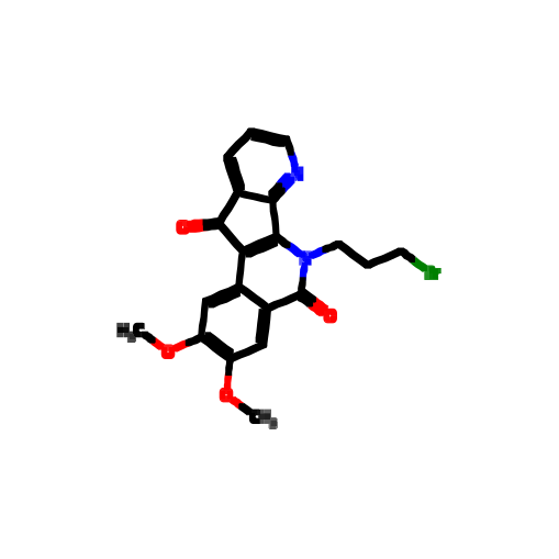 COc1cc2c3c(n(CCCBr)c(=O)c2cc1OC)-c1ncccc1C3=O